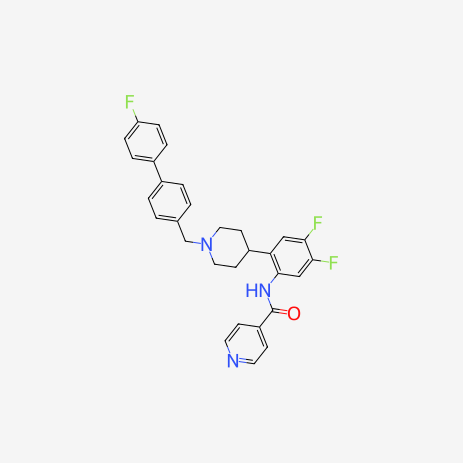 O=C(Nc1cc(F)c(F)cc1C1CCN(Cc2ccc(-c3ccc(F)cc3)cc2)CC1)c1ccncc1